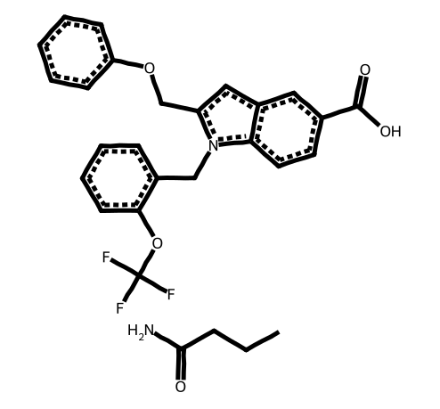 CCCC(N)=O.O=C(O)c1ccc2c(c1)cc(COc1ccccc1)n2Cc1ccccc1OC(F)(F)F